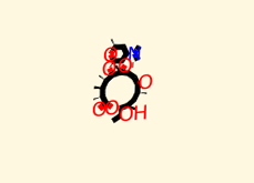 CC[C@H]1OC(=O)[C@H](C)[C@@H](C)[C@H](C)C(O[C@H]2C[C@@H](N(C)C)C[C@@H](C)O2)[C@](C)(OC)CCC(=O)[C@H](C)C[C@]1(C)O